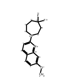 COc1ccc2ccc(N3CCCC(F)(F)CC3)nc2c1